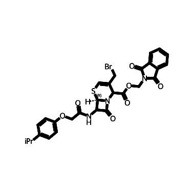 CC(C)c1ccc(OCC(=O)NC2C(=O)N3C(C(=O)OCN4C(=O)c5ccccc5C4=O)C(CBr)=CS[C@H]23)cc1